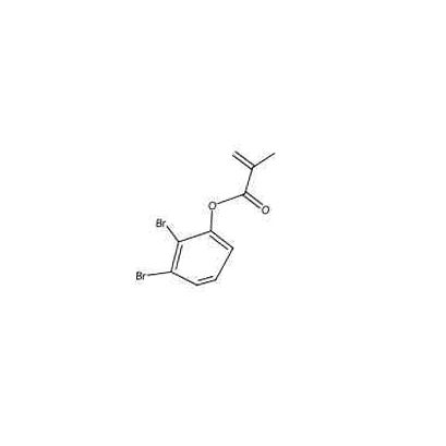 C=C(C)C(=O)Oc1cccc(Br)c1Br